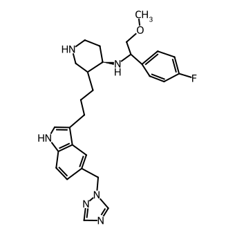 COCC(N[C@@H]1CCNCC1CCCc1c[nH]c2ccc(Cn3cncn3)cc12)c1ccc(F)cc1